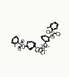 Cc1ccccc1S(=O)(=O)Oc1cccc([O][Zr+2][O]c2cccc(OS(=O)(=O)c3ccccc3C)c2)c1.[Cl-].[Cl-]